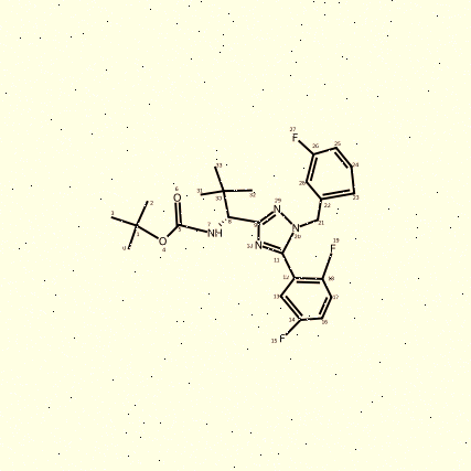 CC(C)(C)OC(=O)N[C@@H](c1nc(-c2cc(F)ccc2F)n(Cc2cccc(F)c2)n1)C(C)(C)C